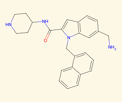 NCc1ccc2cc(C(=O)NC3CCNCC3)n(Cc3cccc4ccccc34)c2c1